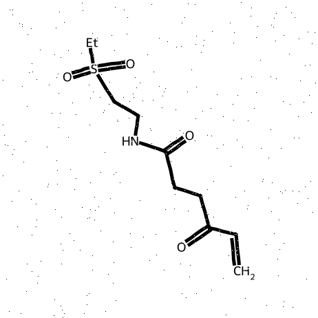 C=CC(=O)CCC(=O)NCCS(=O)(=O)CC